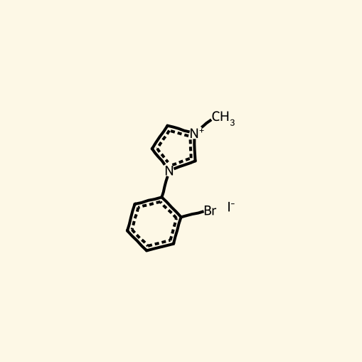 C[n+]1ccn(-c2ccccc2Br)c1.[I-]